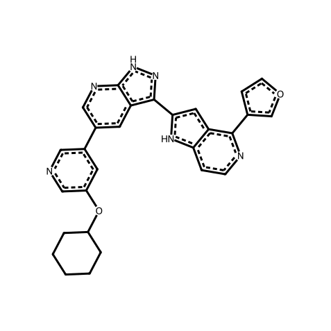 c1cc2[nH]c(-c3n[nH]c4ncc(-c5cncc(OC6CCCCC6)c5)cc34)cc2c(-c2ccoc2)n1